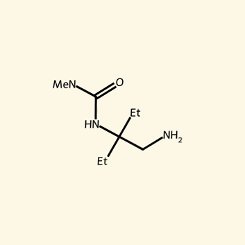 CCC(CC)(CN)NC(=O)NC